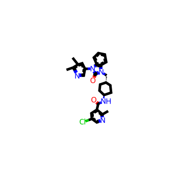 Cc1cc(-n2c(=O)n(C[C@H]3CC[C@H](NC(=O)c4cc(Cl)cnc4C)CC3)c3ccccc32)cnc1C